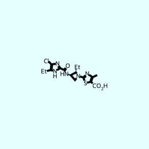 CCc1[nH]c(C(=O)N[C@@H]2CN(c3nc(C)c(C(=O)O)s3)[C@H]2CC)nc1Cl